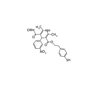 COC(=O)C1=C(C)NC(C)=C(C(=O)OCCc2ccc(S)cc2)C1c1cccc([N+](=O)[O-])c1